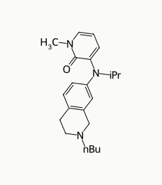 CCCCN1CCc2ccc(N(c3cccn(C)c3=O)C(C)C)cc2C1